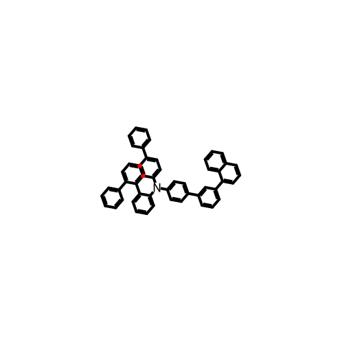 c1ccc(-c2ccc(N(c3ccc(-c4cccc(-c5cccc6ccccc56)c4)cc3)c3ccccc3-c3ccccc3-c3ccccc3)cc2)cc1